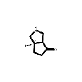 O=C1CC[C@H]2CNCC12